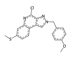 COc1ccc(Cn2cc3c(n2)c(Cl)nc2cc(SC)ccc23)cc1